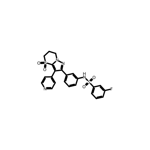 O=S1(=O)CCCn2nc(-c3cccc(NS(=O)(=O)c4cccc(F)c4)c3)c(-c3ccncc3)c21